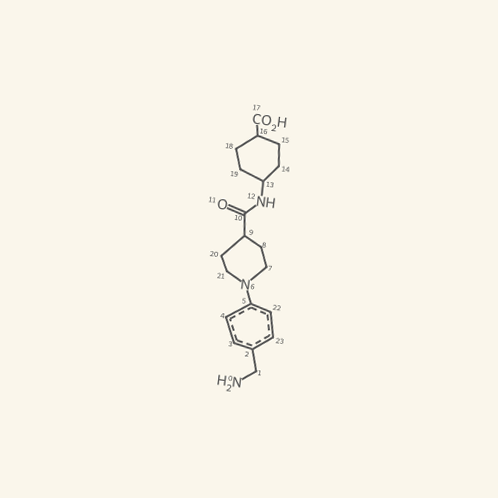 NCc1ccc(N2CCC(C(=O)NC3CCC(C(=O)O)CC3)CC2)cc1